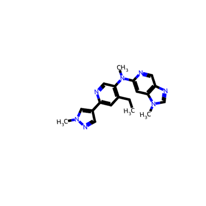 CCc1cc(-c2cnn(C)c2)ncc1N(C)c1cc2c(cn1)ncn2C